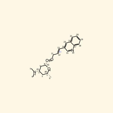 C[C@@H]1C[C@H](N(C)C)C[C@H](OOC/C=C/c2cnc3ccccc3c2)O1